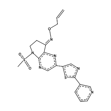 C=CCO/N=C1\CCN(S(C)(=O)=O)c2ncc(-c3cnc(-c4cccnc4)s3)nc21